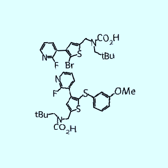 CC(C)(C)CN(Cc1cc(-c2cccnc2F)c(Br)s1)C(=O)O.COc1cccc(Sc2sc(CN(CC(C)(C)C)C(=O)O)cc2-c2cccnc2F)c1